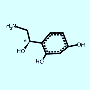 NC[C@H](O)c1ccc(O)cc1O